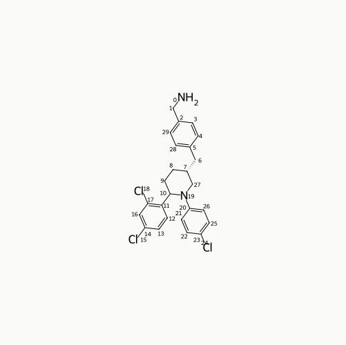 NCc1ccc(C[C@H]2CCC(c3ccc(Cl)cc3Cl)N(c3ccc(Cl)cc3)C2)cc1